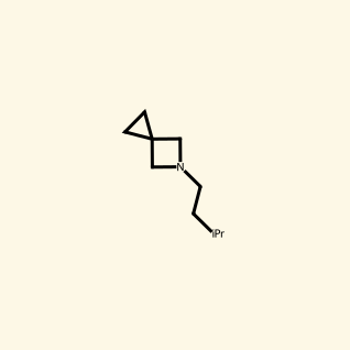 CC(C)CCN1CC2(CC2)C1